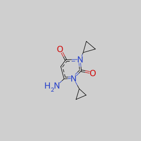 Nc1cc(=O)n(C2CC2)c(=O)n1C1CC1